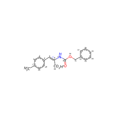 Cc1ccc(/C=C(/NC(=O)OCc2ccccc2)C(=O)O)cc1